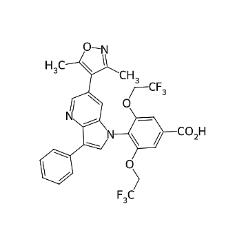 Cc1noc(C)c1-c1cnc2c(-c3ccccc3)cn(-c3c(OCC(F)(F)F)cc(C(=O)O)cc3OCC(F)(F)F)c2c1